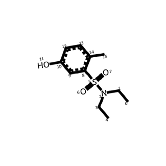 CCN(CC)S(=O)(=O)c1cc(O)ccc1C